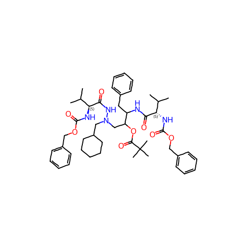 CC(C)[C@H](NC(=O)OCc1ccccc1)C(=O)NC(Cc1ccccc1)C(CN(CC1CCCCC1)NC(=O)[C@@H](NC(=O)OCc1ccccc1)C(C)C)OC(=O)C(C)(C)C